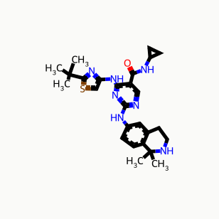 CC(C)(C)c1nc(Nc2nc(Nc3ccc4c(c3)CCNC4(C)C)ncc2C(=O)NC2CC2)cs1